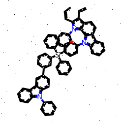 C=Cc1c(/C=C\C)n(-c2ccccc2)c2c1ccc1c3ccccc3n(-c3ccc([Si](c4ccccc4)(c4ccccc4)c4cccc(-c5ccc6c(c5)c5ccccc5n6-c5ccccc5)c4)cc3)c12